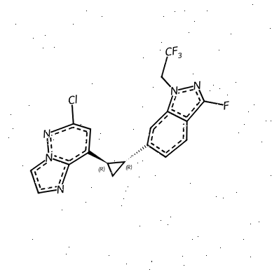 Fc1nn(CC(F)(F)F)c2cc([C@@H]3C[C@H]3c3cc(Cl)nn4ccnc34)ccc12